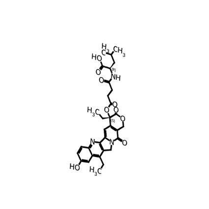 CCc1c2c(nc3ccc(O)cc13)-c1cc3c(c(=O)n1C2)COC(=O)[C@@]3(CC)OC(=O)CCC(=O)N[C@H](CC(C)C)C(=O)O